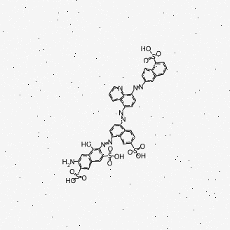 Nc1cc2c(O)c(/N=N/c3ccc(/N=N/c4ccc(/N=N/c5ccc6c(S(=O)(=O)O)cccc6c5)c5ncccc45)c4ccc(S(=O)(=O)O)cc34)c(S(=O)(=O)O)cc2cc1S(=O)(=O)O